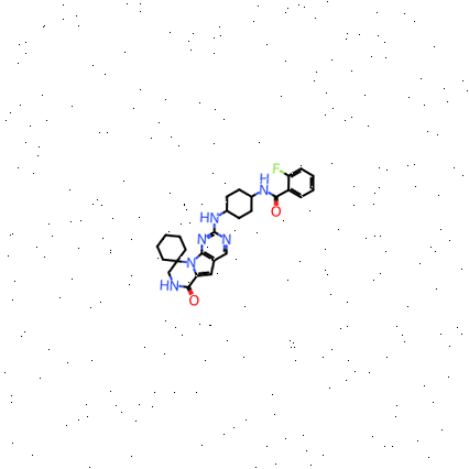 O=C(NC1CCC(Nc2ncc3cc4n(c3n2)C2(CCCCC2)CNC4=O)CC1)c1ccccc1F